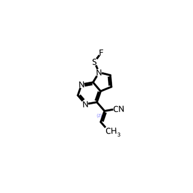 C/C=C(\C#N)c1ncnc2c1ccn2SF